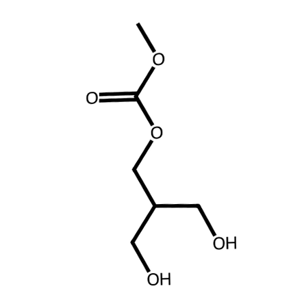 COC(=O)OCC(CO)CO